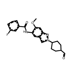 COc1cc2nn(C3CCC(C=O)CC3)cc2cc1NC(=O)c1cccc(F)c1